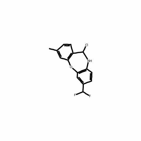 Cc1ccc2c(c1)Oc1cc(C(F)F)ccc1NC2Cl